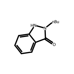 CCCCn1[nH]c2ccccc2c1=O